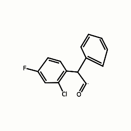 O=[C]C(c1ccccc1)c1ccc(F)cc1Cl